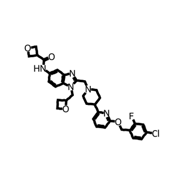 O=C(Nc1ccc2c(c1)nc(CN1CCC(c3cccc(OCc4ccc(Cl)cc4F)n3)CC1)n2CC1CCO1)C1COC1